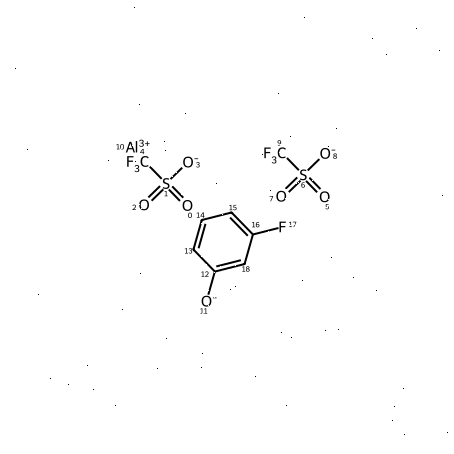 O=S(=O)([O-])C(F)(F)F.O=S(=O)([O-])C(F)(F)F.[Al+3].[O-]c1cccc(F)c1